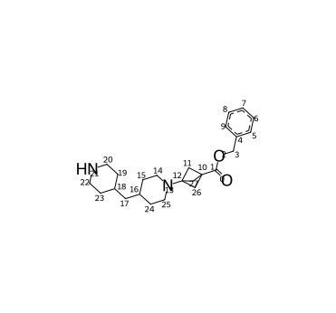 O=C(OCc1ccccc1)C12CC(N3CCC(CC4CCNCC4)CC3)(C1)C2